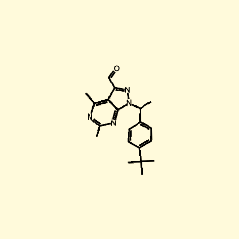 Cc1nc(C)c2c(C=O)nn(C(C)c3ccc(C(C)(C)C)cc3)c2n1